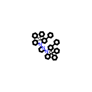 c1ccc(-c2ccc3c(c2)[Si](c2ccccc2)(c2ccccc2)c2ccccc2N3c2cccc(N3c4ccccc4[Si](c4ccccc4)(c4ccccc4)c4cc(-c5ccccc5)ccc43)n2)cc1